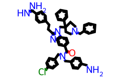 N=C(N)c1ccc(CCc2nc3cc(C(=O)N(Cc4ccc(Cl)cc4)Cc4ccc(CN)cc4)ccc3n2CC2(c3ccccc3)CCN(Cc3ccccc3)CC2)cc1